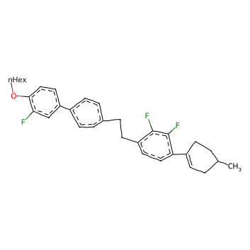 CCCCCCOc1ccc(-c2ccc(CCc3ccc(C4=CCC(C)CC4)c(F)c3F)cc2)cc1F